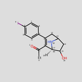 CCC(=O)C1=C(c2ccc(I)cc2)CC2CC(O)[C@@H]1N2